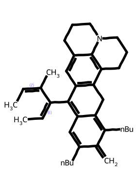 C=c1c(CCCC)cc2c(c1CCCC)Cc1c(cc3c4c1CCCN4CCC3)C=2C(=C/C)/C(C)=C\C